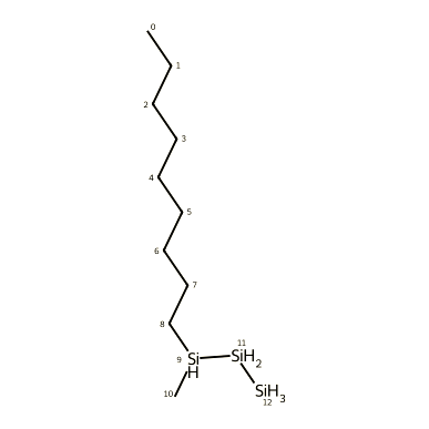 CCCCCCCCC[SiH](C)[SiH2][SiH3]